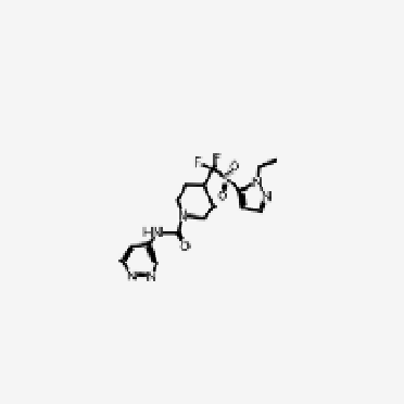 CCn1nccc1S(=O)(=O)C(F)(F)C1CCN(C(=O)Nc2ccnnc2)CC1